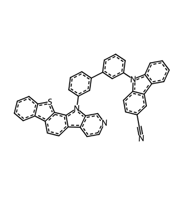 N#Cc1ccc2c(c1)c1ccccc1n2-c1cccc(-c2cccc(-n3c4cnccc4c4ccc5c6ccccc6sc5c43)c2)c1